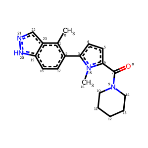 Cc1c(-c2ccc(C(=O)N3CCCCC3)n2C)ccc2[nH]ncc12